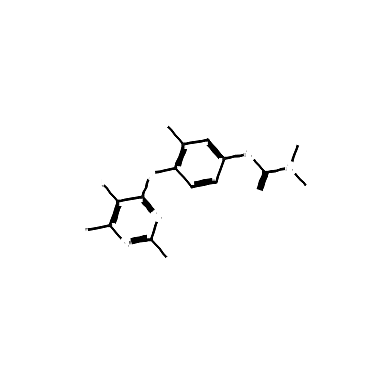 Cc1nc(Cl)c(Cl)c(Sc2ccc(NC(=O)N(C)C)cc2C)n1